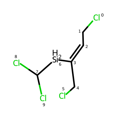 ClC/C=C(/CCl)[SiH2]C(Cl)Cl